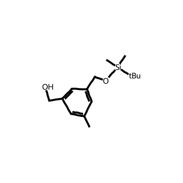 Cc1cc(CO)cc(CO[Si](C)(C)C(C)(C)C)c1